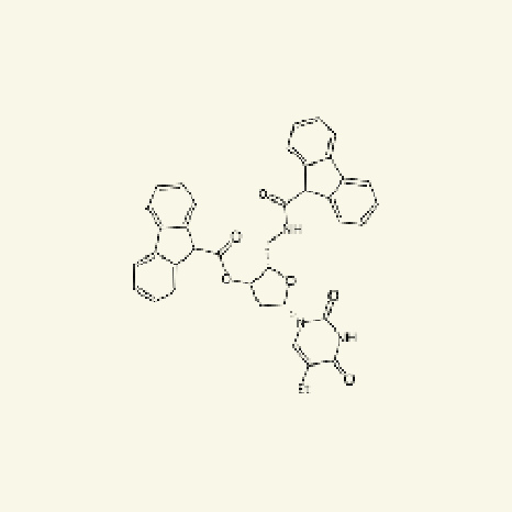 CCc1cn([C@@H]2CC(OC(=O)C3c4ccccc4-c4ccccc43)[C@H](CNC(=O)C3c4ccccc4-c4ccccc43)O2)c(=O)[nH]c1=O